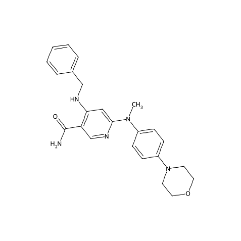 CN(c1ccc(N2CCOCC2)cc1)c1cc(NCc2ccccc2)c(C(N)=O)cn1